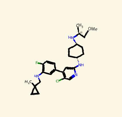 COC[C@H](C)N[C@H]1CC[C@H](Nc2cc(-c3ccc(F)c(NCC4(C)CC4)c3)c(Cl)cn2)CC1